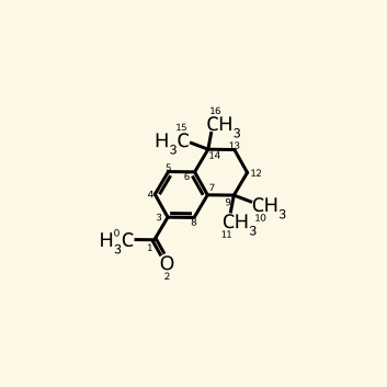 CC(=O)c1ccc2c(c1)C(C)(C)CCC2(C)C